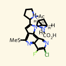 CSc1nc2c(F)c(Cl)ncc2c2c1cc(C1CCCN1C(C)=O)n2[C@H]1[C@@H]2C[C@H]1N(C(=O)O)C2